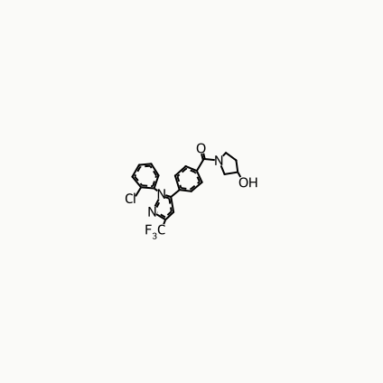 O=C(c1ccc(-c2cc(C(F)(F)F)nn2-c2ccccc2Cl)cc1)N1CCC(O)C1